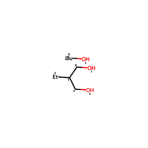 CCC(C)O.CCC(CO)CO